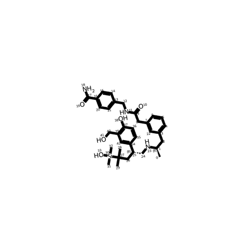 C[C@H](Cc1cccc(CC(=O)NCc2ccc(C(N)=O)cc2)c1)NC[C@H](CC(C)(C)[Si](C)(C)O)c1ccc(O)c(CO)c1